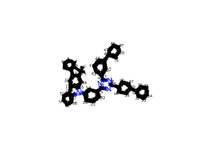 CC1(C)c2ccccc2-c2cc3c4ccccc4n(-c4cccc(-c5nc(-c6ccc(-c7ccccc7)cc6)nc(-c6cccc(-c7ccccc7)c6)n5)c4)c3cc21